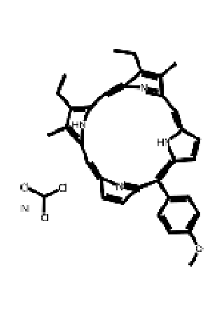 CCC1=C(C)c2cc3ccc([nH]3)c(-c3ccc(OC)cc3)c3nc(cc4[nH]c(cc1n2)c(CC)c4C)C=C3.ClC(Cl)Cl.[Ni]